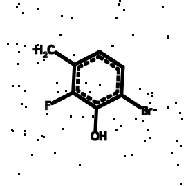 [CH2]c1ccc(Br)c(O)c1F